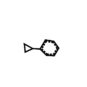 [C]1CC1c1ccccc1